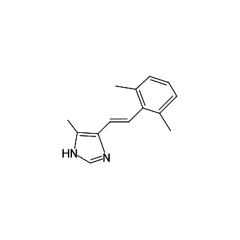 Cc1cccc(C)c1C=Cc1nc[nH]c1C